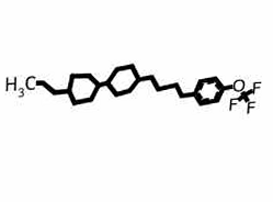 CCCC1CCC(C2CCC(CCCCc3ccc(OC(F)(F)F)cc3)CC2)CC1